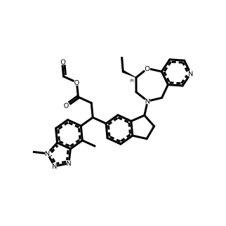 CC[C@@H]1CN(C2CCc3ccc(C(CC(=O)OC=O)c4ccc5c(nnn5C)c4C)cc32)Cc2cnccc2O1